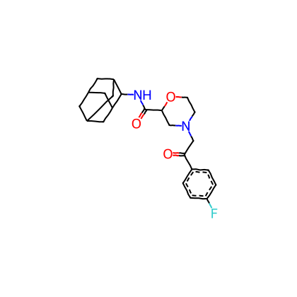 O=C(CN1CCOC(C(=O)NC2C3CC4CC(C3)CC2C4)C1)c1ccc(F)cc1